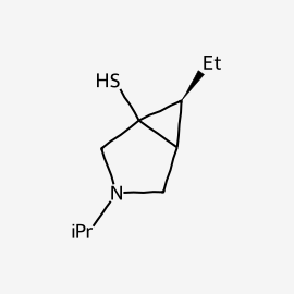 CC[C@H]1C2CN(C(C)C)CC21S